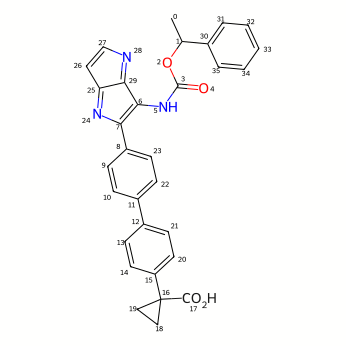 CC(OC(=O)NC1=C(c2ccc(-c3ccc(C4(C(=O)O)CC4)cc3)cc2)N=C2C=CN=C21)c1ccccc1